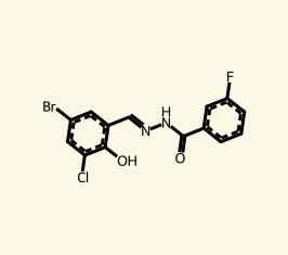 O=C(NN=Cc1cc(Br)cc(Cl)c1O)c1cccc(F)c1